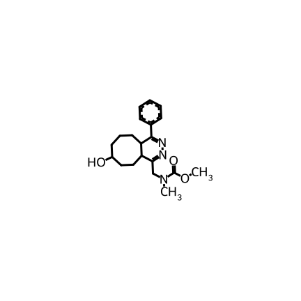 COC(=O)N(C)CC1=NN=C(c2ccccc2)C2CCCC(O)CCC12